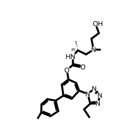 CCc1nnnn1-c1cc(OC(=O)N[C@H](C)CN(C)CCO)cc(-c2ccc(C)cc2)c1